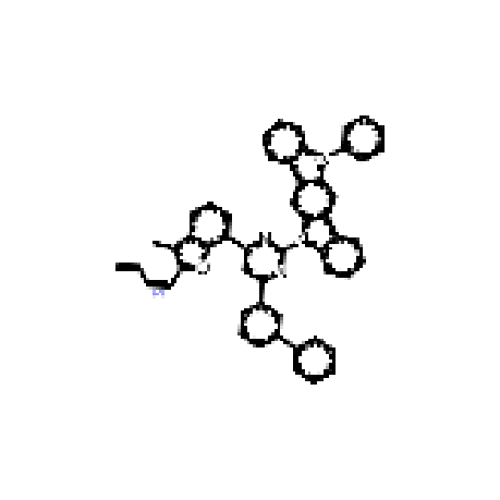 C=C/C=C\c1oc2c(-c3cc(-c4cccc(-c5ccccc5)c4)nc(-n4c5ccccc5c5cc6c(cc54)c4ccccc4n6-c4ccccc4)n3)cccc2c1C